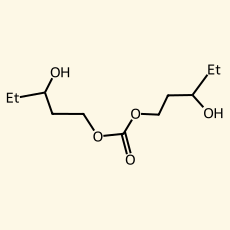 CCC(O)CCOC(=O)OCCC(O)CC